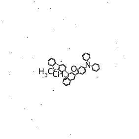 CC1(C)c2ccccc2-c2ccc(-c3c4ccccc4cc4c3oc3cc(N(c5ccccc5)c5ccccc5)ccc34)cc21